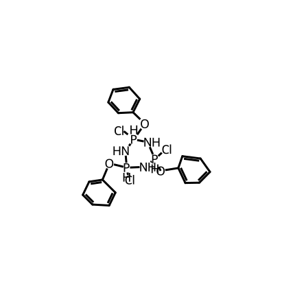 Cl[PH]1(Oc2ccccc2)N[PH](Cl)(Oc2ccccc2)N[PH](Cl)(Oc2ccccc2)N1